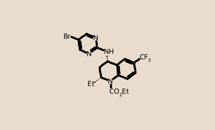 CCOC(=O)N1c2ccc(C(F)(F)F)cc2[C@@H](Nc2ncc(Br)cn2)C[C@H]1CC